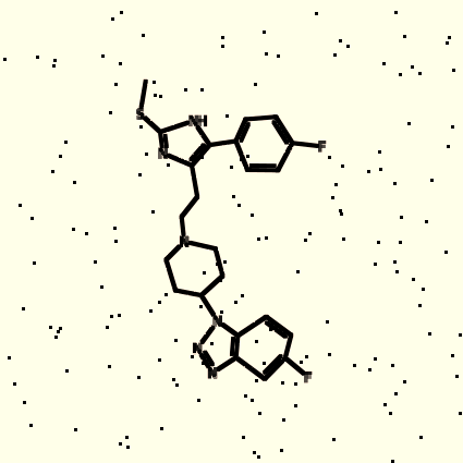 CSc1nc(CCN2CCC(n3nnc4cc(F)ccc43)CC2)c(-c2ccc(F)cc2)[nH]1